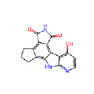 O=C1NC(=O)c2c1c1c(c3[nH]c4nccc(O)c4c23)CCC1